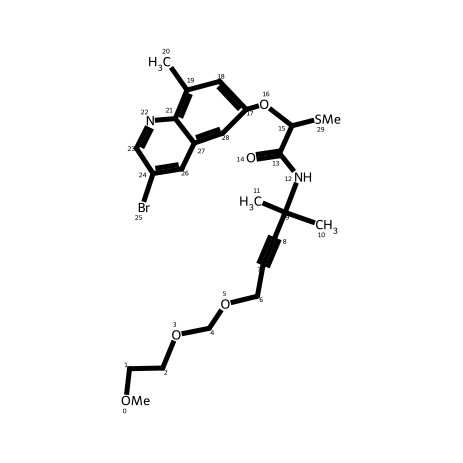 COCCOCOCC#CC(C)(C)NC(=O)C(Oc1cc(C)c2ncc(Br)cc2c1)SC